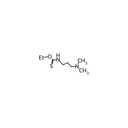 CCOC(=S)NCCCN(C)C